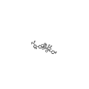 CC(N(Cc1ccc(F)cc1)C(=O)CN1CO[C@]2(C(=O)Cc3cc(-c4cc(C(F)F)ccn4)ccc32)C1=O)C(F)(F)F